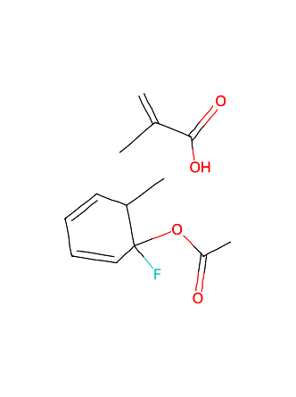 C=C(C)C(=O)O.CC(=O)OC1(F)C=CC=CC1C